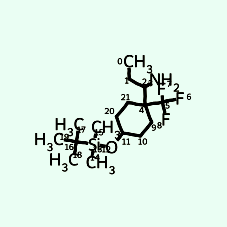 CCC(N)C1(C(F)(F)F)CCC(O[Si](C)(C)C(C)(C)C)CC1